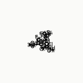 CC(C)(C#Cc1ccc(-c2ccc(Cl)c3c(N[S+]([O-])C4CC4)nn(C4COC4)c23)c([C@H](Cc2cc(F)cc(F)c2)NC(=O)Cn2nc(C(F)(F)F)c3c2C(F)(F)CC3)n1)S(=O)(=O)C1CC1